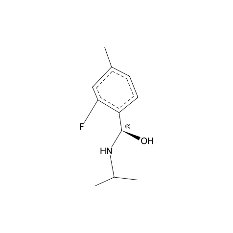 Cc1ccc([C@@H](O)NC(C)C)c(F)c1